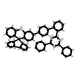 c1ccc(-c2nc(-c3ccccc3)nc(-c3ccccc3-c3ccc(-c4ccc5c(c4)Oc4ccccc4C54c5ccccc5-c5ccccc54)cc3)n2)cc1